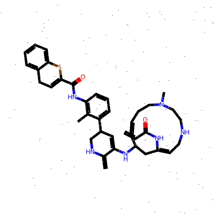 C=CC(=O)N/C1=C\CNCCN(C)CC/C=C\C(NC2=CC(c3cccc(NC(=O)C4=CCc5ccccc5S4)c3C)CNC2=C)C1